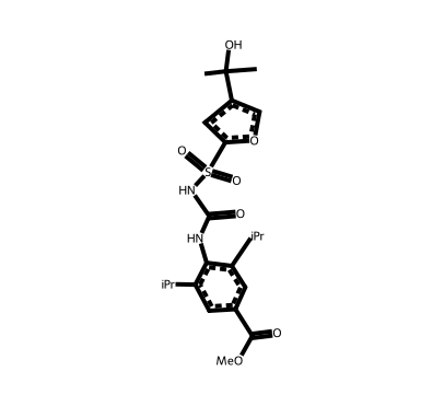 COC(=O)c1cc(C(C)C)c(NC(=O)NS(=O)(=O)c2cc(C(C)(C)O)co2)c(C(C)C)c1